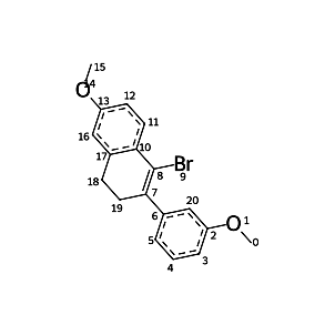 COc1cccc(C2=C(Br)c3ccc(OC)cc3CC2)c1